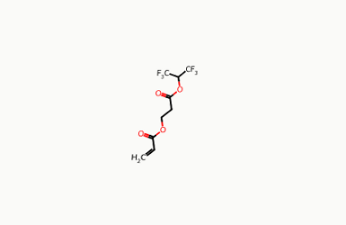 C=CC(=O)OCCC(=O)OC(C(F)(F)F)C(F)(F)F